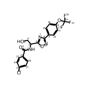 O=C(NC(CO)c1nc(-c2ccc(OC(F)(F)F)cc2)no1)c1ccc(Cl)cc1